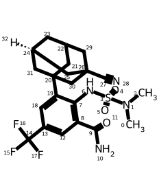 CN(C)S(=O)(=O)Nc1c(C(N)=O)cc(C(F)(F)F)cc1C12CC3C[C@@H](CC(C#N)(C3)C1)C2